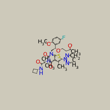 C=NN(/N=C\C)c1sc2c(c1C)c(=O)n(C(C)(C)C(=O)NC1CCC1)c(=O)n2C[C@H](OCCC(C)=O)c1cc(F)ccc1OC